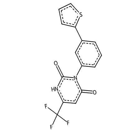 O=c1cc(C(F)(F)F)[nH]c(=O)n1-c1cccc(-c2cccs2)c1